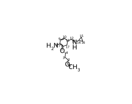 COCCCOC1=C(N)C=CC(CNC2CC2)C1